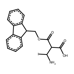 NC(I)C(C(=O)O)C(=O)OCC1c2ccccc2-c2ccccc21